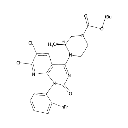 CCCc1ccccc1-n1c(=O)nc(N2CCN(C(=O)OC(C)(C)C)C[C@@H]2C)c2cc(Cl)c(Cl)nc21